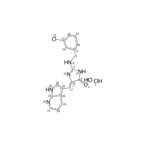 Cl.Cl.O=C1NC(NCc2cccc(Cl)c2)=N/C1=C\c1c[nH]c2ncccc12